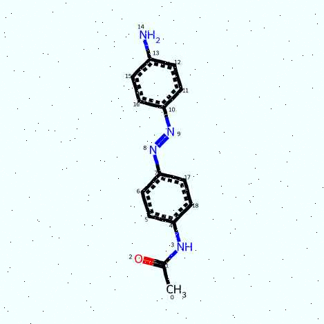 CC(=O)Nc1ccc(N=Nc2ccc(N)cc2)cc1